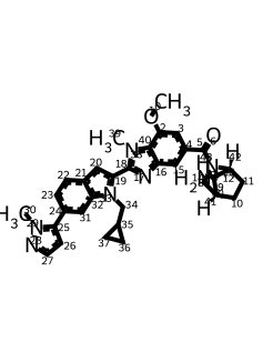 COc1cc(C(=O)N2C[C@H]3CC[C@@H]2[C@@H]3N)cc2nc(-c3cc4ccc(-c5ccnn5C)cc4n3CC3CC3)n(C)c12